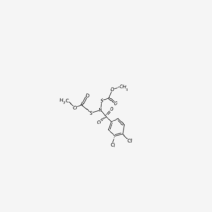 COC(=O)SN(SC(=O)OC)S(=O)(=O)c1ccc(Cl)c(Cl)c1